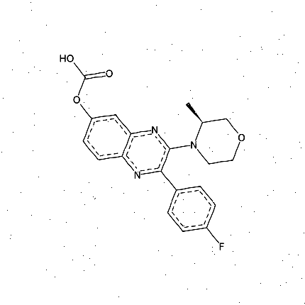 C[C@H]1COCCN1c1nc2cc(OC(=O)O)ccc2nc1-c1ccc(F)cc1